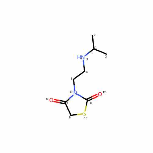 CC(C)NCCN1C(=O)CSC1=O